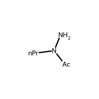 CCCN(N)C(C)=O